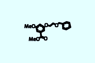 COC(=O)c1cc(OC)cc(OCCOCc2ccccc2)c1